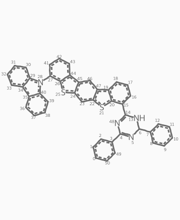 c1ccc(C2=NC(c3ccccc3)NC(c3cccc4c3sc3cc5sc6c(-n7c8ccccc8c8ccccc87)cccc6c5cc34)=N2)cc1